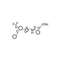 CC(=O)OCCOc1ccccc1C(=O)NCc1coc(-c2ccc(OC(F)F)c(OCc3ccccc3)c2)n1